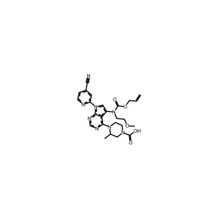 C=CCOC(=O)N(CCOC)c1cn(-c2cc(C#N)ccn2)c2ncnc(N3CCN(C(=O)O)CC3C)c12